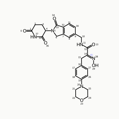 O=C1CCC(N2Cc3cc(CNC(=O)/C(Cc4ccc(N5CCOCC5)cc4)=N/O)ccc3C2=O)C(=O)N1